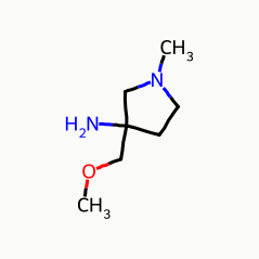 COCC1(N)CCN(C)C1